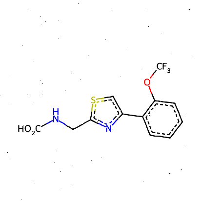 O=C(O)NCc1nc(-c2ccccc2OC(F)(F)F)cs1